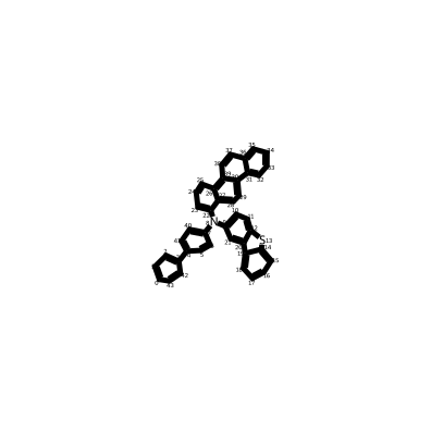 c1ccc(-c2ccc(N(c3ccc4sc5ccccc5c4c3)c3cccc4c3ccc3c5ccccc5ccc43)cc2)cc1